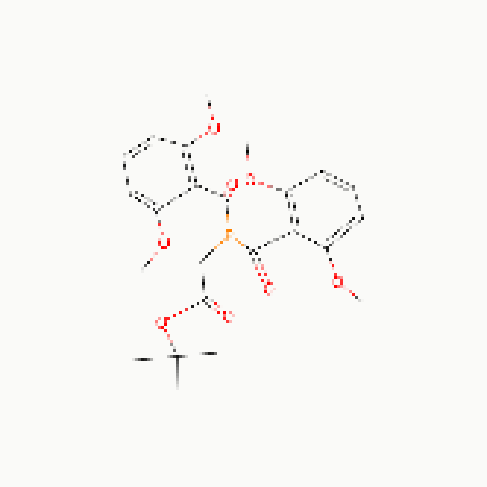 COc1cccc(OC)c1C(=O)P(CC(=O)OC(C)(C)C)C(=O)c1c(OC)cccc1OC